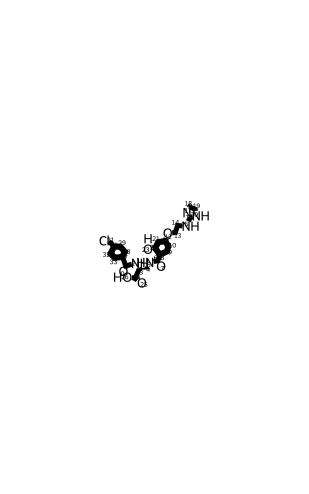 O=C(N[C@@H](CNC(=O)c1ccc(OCCNC2=NCCN2)cc1O)C(=O)O)c1ccc(Cl)cc1